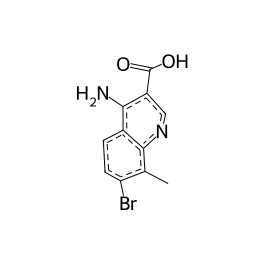 Cc1c(Br)ccc2c(N)c(C(=O)O)cnc12